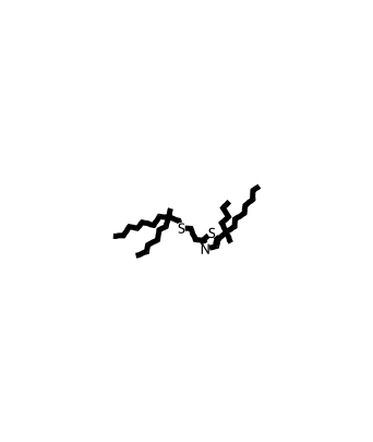 CCCCCCCC(C)(CCCCCC)CSCCc1ncc(C(C)(CCCC)CCCCCCC)s1